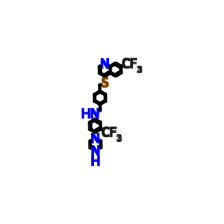 FC(F)(F)c1ccc2c(SCC3CCC(CNc4ccc(N5CCNCC5)c(C(F)(F)F)c4)CC3)ccnc2c1